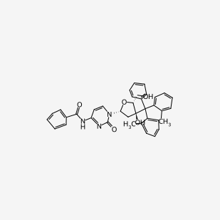 Cc1ccccc1C(c1ccccc1)(c1ccccc1C)[C@]1(O)C[C@H](n2ccc(NC(=O)c3ccccc3)nc2=O)O[C@@H]1CO